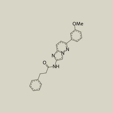 COc1cccc(-c2ccc3nc(NC(=O)CCc4ccccc4)cn3n2)c1